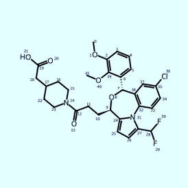 COc1cccc([C@H]2O[C@H](CCC(=O)N3CCC(CC(=O)O)CC3)c3ccc(C(F)F)n3-c3ccc(Cl)cc32)c1OC